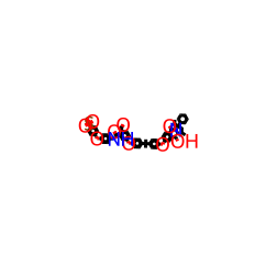 CCCC(CC)(C1CCCCC1)N(C)C(=O)c1ccc(Oc2ccc(C(C)(C)c3ccc(Oc4ccc(C=O)c(C(=O)Nc5ccc(Oc6ccc(S(C)(=O)=O)cc6)cc5)c4)cc3)cc2)cc1CO